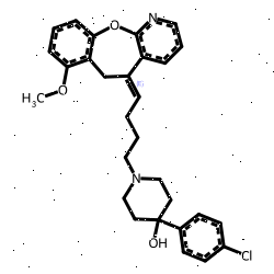 COc1cccc2c1C/C(=C\CCCN1CCC(O)(c3ccc(Cl)cc3)CC1)c1cccnc1O2